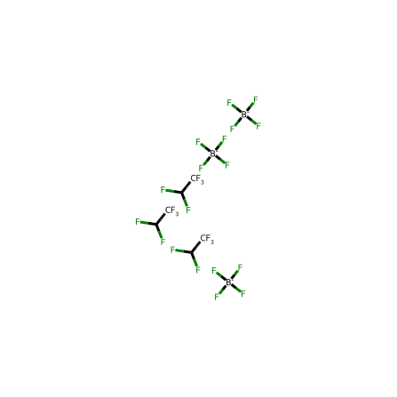 FC(F)C(F)(F)F.FC(F)C(F)(F)F.FC(F)C(F)(F)F.F[B-](F)(F)F.F[B-](F)(F)F.F[B-](F)(F)F